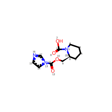 O=C(O)N1CCCC[C@H]1COC(=O)n1ccnc1